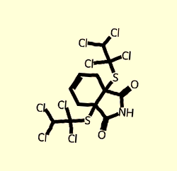 O=C1NC(=O)C2(SC(Cl)(Cl)C(Cl)Cl)CC=CCC12SC(Cl)(Cl)C(Cl)Cl